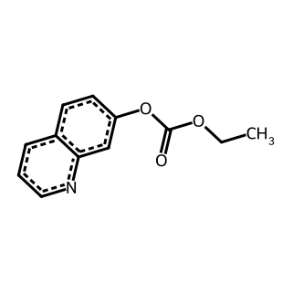 CCOC(=O)Oc1ccc2cccnc2c1